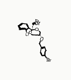 Clc1ccccc1[C@]1(CBr)OC[C@@H](OCc2ccc(Br)cc2)CO1